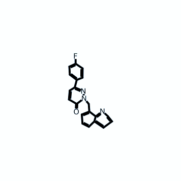 O=c1ccc(-c2ccc(F)cc2)nn1Cc1cccc2cccnc12